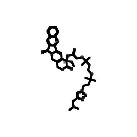 CC[C@@]1(OC(=O)COC(C)(C)CCOC(C)(C)CCn2cc(CN(C)C)nn2)C(=O)OCC2=C1C=C1c3nc4ccccc4cc3C(=O)N1C2